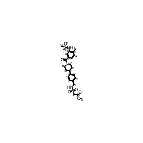 COC(=O)CS(=O)(=O)NCc1ccc(C2CCN(C(=O)c3ccc(C)c(NS(C)(=O)=O)c3)CC2)cc1